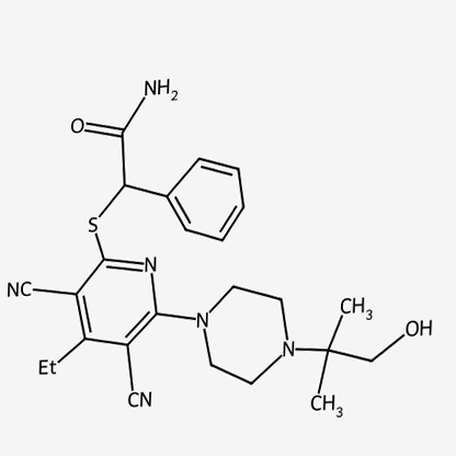 CCc1c(C#N)c(SC(C(N)=O)c2ccccc2)nc(N2CCN(C(C)(C)CO)CC2)c1C#N